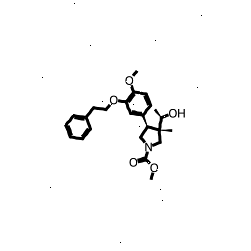 COC(=O)N1C[C@@H](c2ccc(OC)c(OCCc3ccccc3)c2)[C@](C)([C@@H](C)O)C1